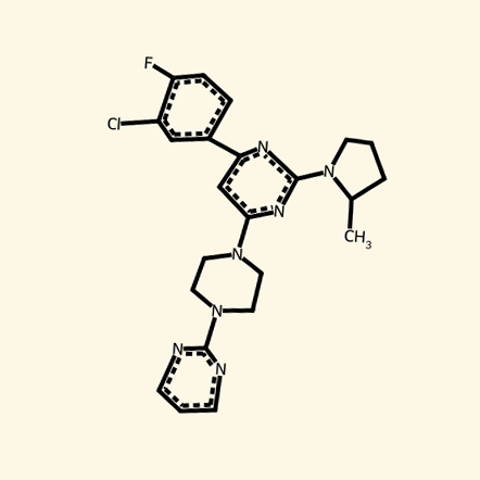 CC1CCCN1c1nc(-c2ccc(F)c(Cl)c2)cc(N2CCN(c3ncccn3)CC2)n1